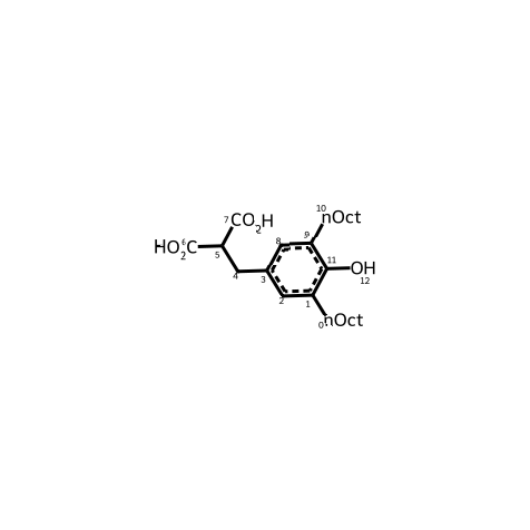 CCCCCCCCc1cc(CC(C(=O)O)C(=O)O)cc(CCCCCCCC)c1O